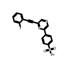 CC(C)S(=O)(=O)c1ccc(-c2cncc(C#Cc3ccccc3F)n2)cc1